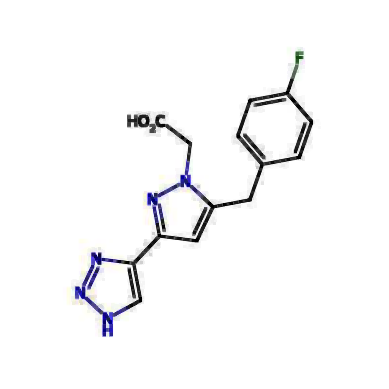 O=C(O)Cn1nc(-c2c[nH]nn2)cc1Cc1ccc(F)cc1